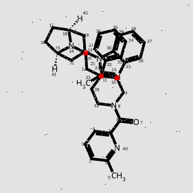 Cc1cccc(C(=O)N2CCC(CCN3[C@@H]4CC[C@H]3CC(n3c(C)nc5ccccc53)C4)(c3ccccc3)CC2)n1